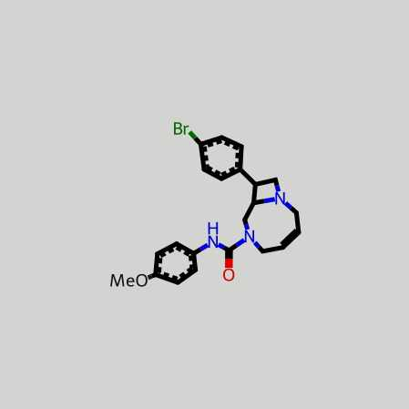 COc1ccc(NC(=O)N2CC=CCN3CC(c4ccc(Br)cc4)C3C2)cc1